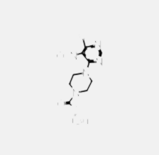 CC(C)(C)OC(=O)N1CCN(c2ncnc(Cl)c2[N+](=O)[O-])CC1